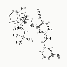 CC(C)(C)OC(=O)N[C@@H]1[C@@H]2CCC[C@H]1CC(CNc1nc(NCc3cccc(Br)c3)ncc1C#N)C2